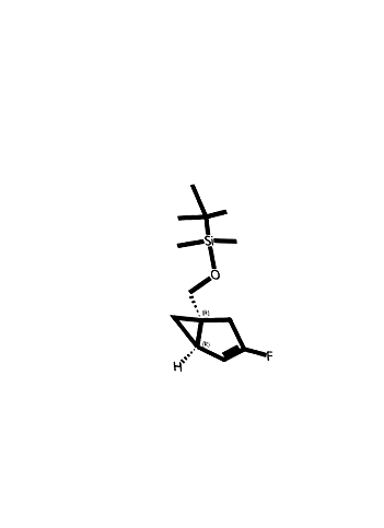 CC(C)(C)[Si](C)(C)OC[C@]12CC(F)=C[C@H]1C2